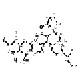 C=CC(=O)N1CCN(c2nc(O[C@@H]3CNC[C@H]3OCC)nc3c(Oc4c(Cl)c(F)cc(N)c4C=N)nccc23)CC1